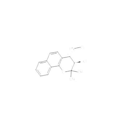 CC(C)N[C@H]1c2ccc3ccccc3c2OC(C)(C)[C@@H]1O